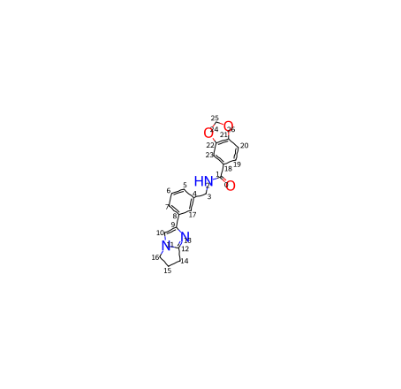 O=C(NCc1cccc(-c2cn3c(n2)CCC3)c1)c1ccc2c(c1)OCO2